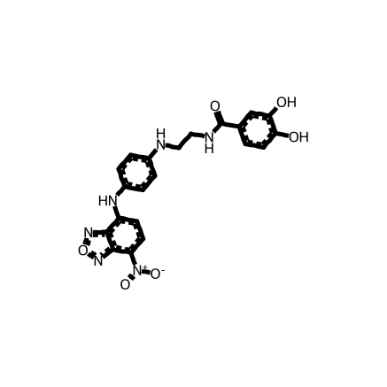 O=C(NCCNc1ccc(Nc2ccc([N+](=O)[O-])c3nonc23)cc1)c1ccc(O)c(O)c1